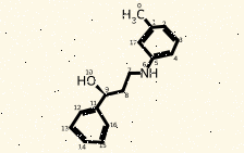 Cc1cccc(NCC[C@H](O)c2ccccc2)c1